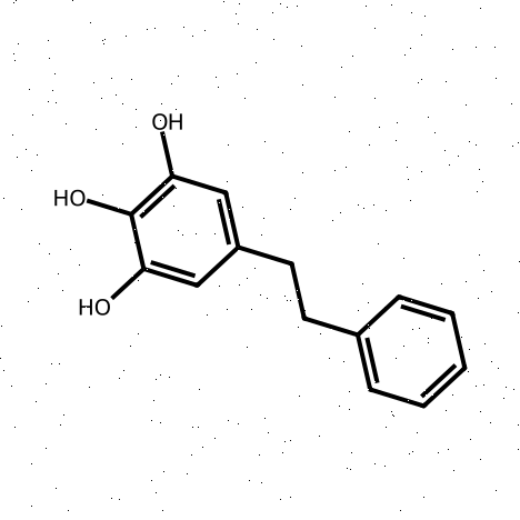 Oc1cc(CCc2ccccc2)cc(O)c1O